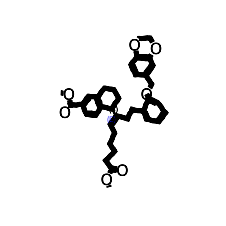 COC(=O)CCCC/C=C(\CCc1ccccc1OCc1ccc2c(c1)OCCO2)[C@@H]1CCCc2cc(C(=O)OC)ccc21